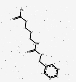 O=C(NCCCCC(O)=S)OCc1ccccc1